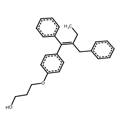 CC/C(Cc1ccccc1)=C(\c1ccccc1)c1ccc(OCCCO)cc1